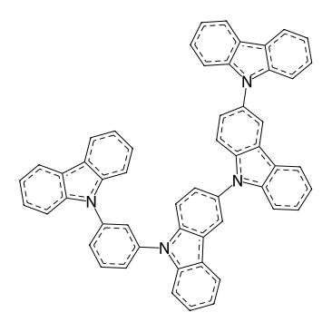 c1cc(-n2c3ccccc3c3ccccc32)cc(-n2c3ccccc3c3cc(-n4c5ccccc5c5cc(-n6c7ccccc7c7ccccc76)ccc54)ccc32)c1